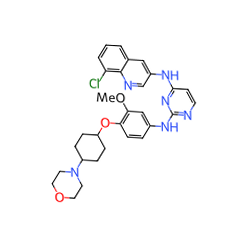 COc1cc(Nc2nccc(Nc3cnc4c(Cl)cccc4c3)n2)ccc1OC1CCC(N2CCOCC2)CC1